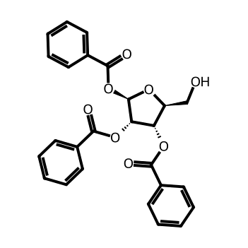 O=C(O[C@H]1O[C@@H](CO)[C@H](OC(=O)c2ccccc2)[C@@H]1OC(=O)c1ccccc1)c1ccccc1